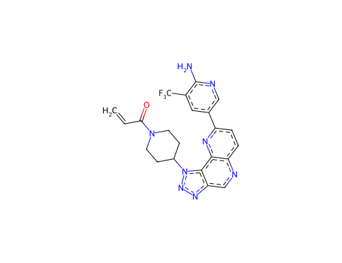 C=CC(=O)N1CCC(n2nnc3cnc4ccc(-c5cnc(N)c(C(F)(F)F)c5)nc4c32)CC1